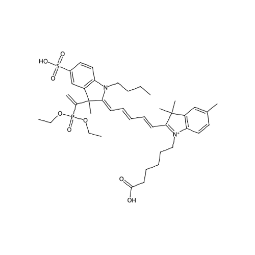 C=C(C1(C)/C(=C/C=C/C=C/C2=[N+](CCCCCC(=O)O)c3ccc(C)cc3C2(C)C)N(CCCC)c2ccc(S(=O)(=O)O)cc21)P(=O)(OCC)OCC